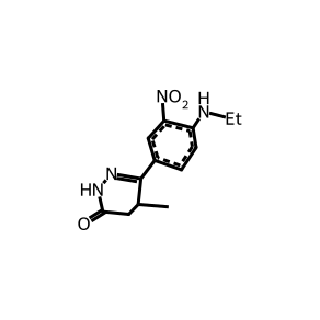 CCNc1ccc(C2=NNC(=O)CC2C)cc1[N+](=O)[O-]